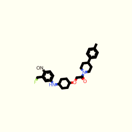 Cc1ccc(C2CCN(C(=O)COC3CCC(Nc4ccc(N=O)c(CF)c4)CC3)CC2)cc1